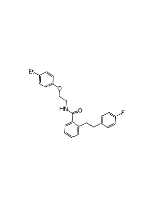 CCc1ccc(OCCNC(=O)c2ccccc2CCc2ccc(F)cc2)cc1